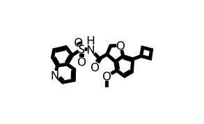 COc1ccc(C2CCC2)c2c1C(C(=O)NS(=O)(=O)c1cccc3ncccc13)CO2